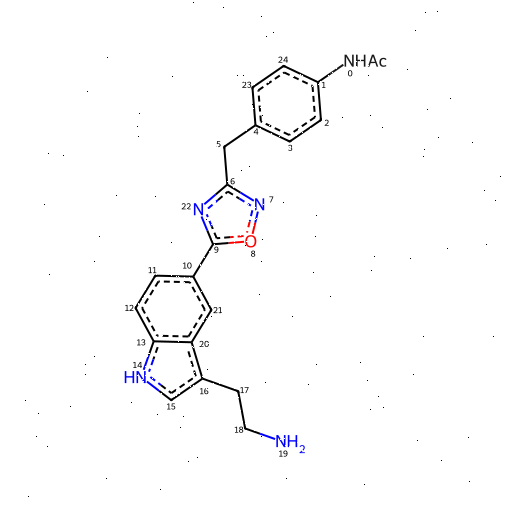 CC(=O)Nc1ccc(Cc2noc(-c3ccc4[nH]cc(CCN)c4c3)n2)cc1